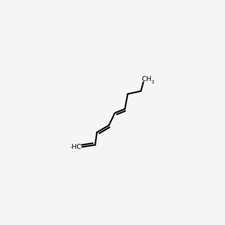 [CH]=C/C=C/C=C/CCC